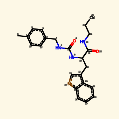 Cc1ccc(CNC(=O)NC(Cc2csc3ccccc23)C(=O)NCCC#N)cc1